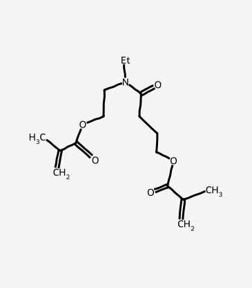 C=C(C)C(=O)OCCCC(=O)N(CC)CCOC(=O)C(=C)C